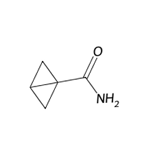 NC(=O)C12CC1C2